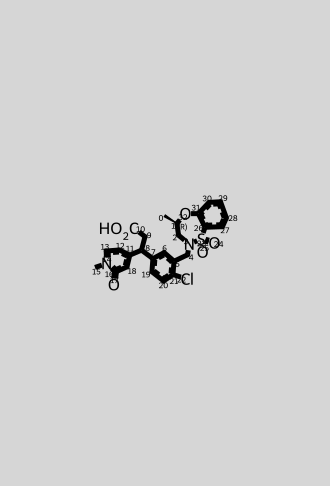 C[C@@H]1CN(Cc2cc(C(CC(=O)O)c3ccn(C)c(=O)c3)ccc2Cl)S(=O)(=O)c2ccccc2O1